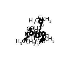 Cc1cc(OCCCc2c3n(c4c(-c5c(C)nn(C)c5C)c(Cl)ccc24)CCCN(c2cc(C(=O)O)c4cnn(CCN(C)C)c4c2)C3=O)cc(C)c1Cl